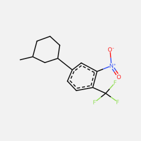 CC1CCCC(c2ccc(C(F)(F)F)c([N+](=O)[O-])c2)C1